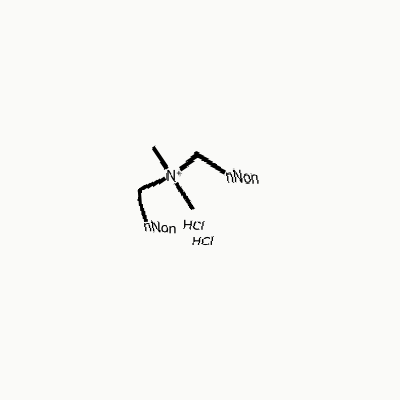 CCCCCCCCCC[N+](C)(C)CCCCCCCCCC.Cl.Cl